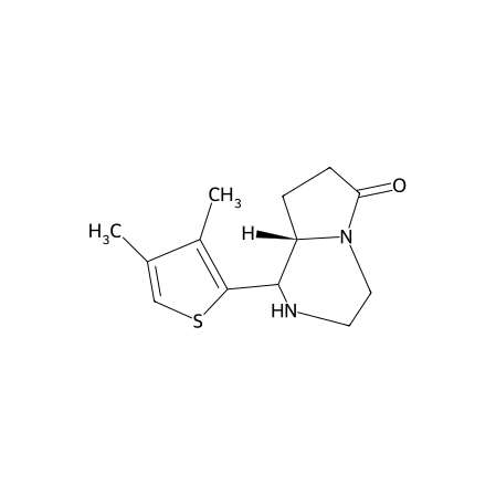 Cc1csc(C2NCCN3C(=O)CC[C@@H]23)c1C